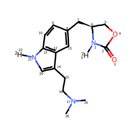 [2H]N1C(=O)OC[C@@H]1Cc1ccc2c(c1)c(CCN(C)C)cn2[2H]